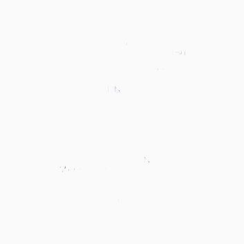 COC(=O)c1cc(NC(=O)OC(C)(C)C)c(Cl)cn1